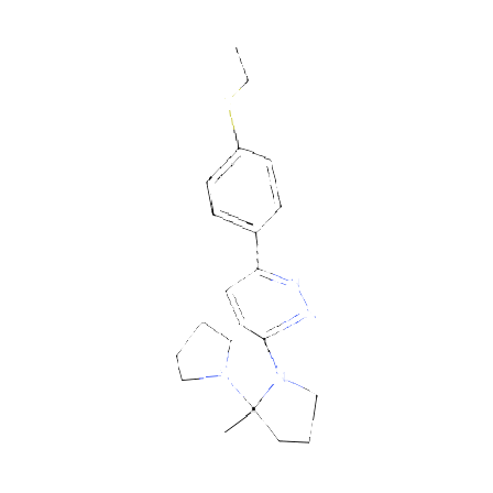 CCSc1ccc(-c2ccc(N3CCCC3(C)N3CCCC3)nn2)cc1